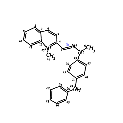 CN(/N=C/c1ccc2ccccc2[n+]1C)c1ccc(Nc2ccccc2)cc1